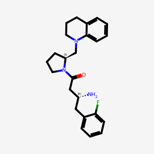 N[C@@H](CC(=O)N1CCC[C@H]1CN1CCCc2ccccc21)Cc1ccccc1F